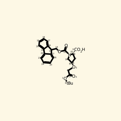 CC(C)(C)OC(=O)CO[C@@H]1C[C@@H](C(=O)O)N(C(=O)OCC2c3ccccc3-c3ccccc32)C1